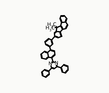 CC1(C)c2cc(-c3cccc(-c4ccc(-c5nc(-c6ccccc6)cc(-c6ccccc6)n5)c5ccccc45)c3)ccc2-c2ccc3ccccc3c21